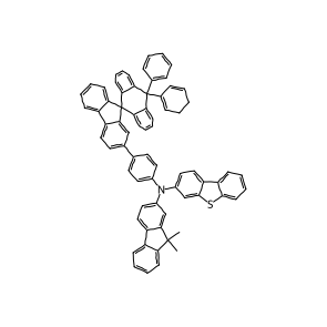 CC1(C)c2ccccc2-c2ccc(N(c3ccc(-c4ccc5c(c4)C4(c6ccccc6-5)c5ccccc5C(C5=CCCC=C5)(c5ccccc5)c5ccccc54)cc3)c3ccc4c(c3)sc3ccccc34)cc21